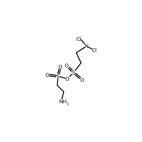 NCCS(=O)(=O)OS(=O)(=O)CCN(Cl)Cl